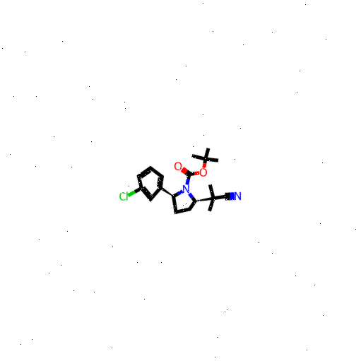 CC(C)(C)OC(=O)N1[C@H](c2cccc(Cl)c2)CC[C@@H]1C(C)(C)C#N